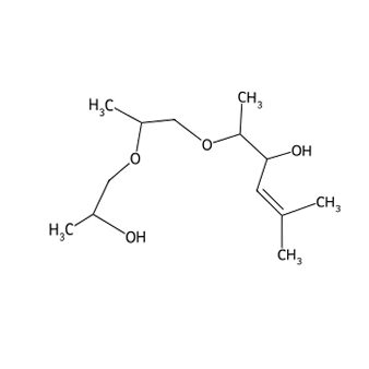 CC(C)=CC(O)C(C)OCC(C)OCC(C)O